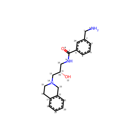 NCc1cccc(C(=O)NC[C@H](O)CN2CCc3ccccc3C2)c1